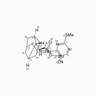 CSc1ncc(C#N)c(NC[C@]23CC4C[C@H](C2)[C@@H](NC(=O)OC(C)(C)C)[C@@H](C4)C3)n1